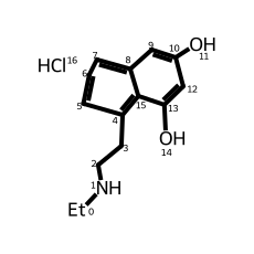 CCNCCc1cccc2cc(O)cc(O)c12.Cl